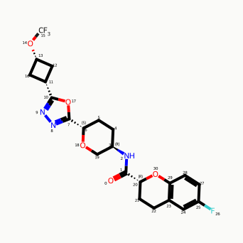 O=C(N[C@@H]1CC[C@@H](c2nnc([C@H]3C[C@@H](OC(F)(F)F)C3)o2)OC1)[C@H]1CCc2cc(F)ccc2O1